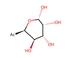 CC(=O)[C@H]1O[C@H](O)[C@H](O)[C@H](O)[C@H]1O